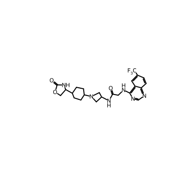 O=C(CNc1ncnc2ccc(C(F)(F)F)cc12)NC1CN(C2CCC(C3COC(=O)N3)CC2)C1